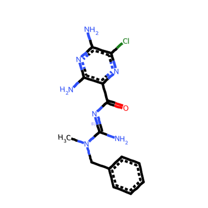 CN(Cc1ccccc1)/C(N)=N/C(=O)c1nc(Cl)c(N)nc1N